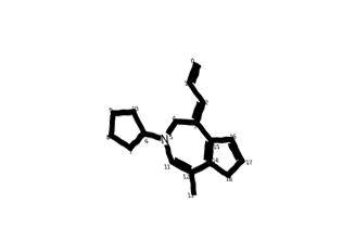 C=C/C=C1\CN(C2CCCC2)C=C(C)C2=C1C=CC2